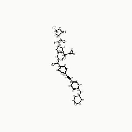 O=C(NC[C@H]1C[C@@H](NC(=O)[C@@H]2C[C@H](F)CN2)CN1C(=O)C1CC1)c1ccc(C#Cc2ccc(CC3CCOCC3)cc2)cc1